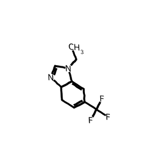 CCN1C=NC2CC=C(C(F)(F)F)C=C21